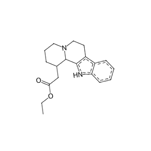 CCOC(=O)CC1CCCN2CCc3c([nH]c4ccccc34)C12